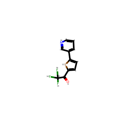 O=C(c1ccc(-c2cccnc2)s1)C(F)(F)F